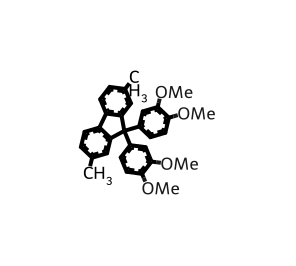 COc1ccc(C2(c3ccc(OC)c(OC)c3)c3cc(C)ccc3-c3ccc(C)cc32)cc1OC